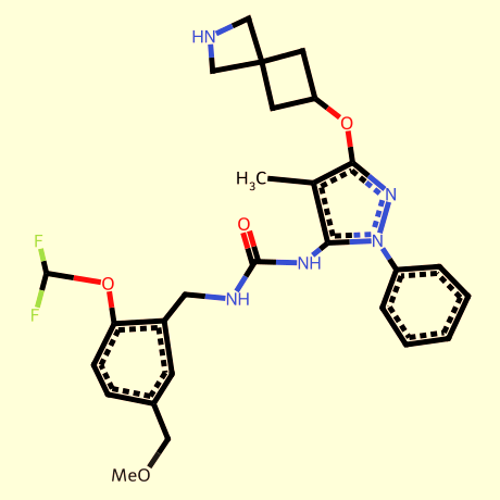 COCc1ccc(OC(F)F)c(CNC(=O)Nc2c(C)c(OC3CC4(CNC4)C3)nn2-c2ccccc2)c1